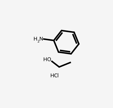 CCO.Cl.Nc1ccccc1